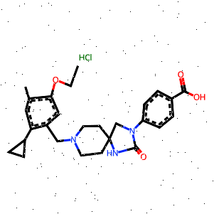 CCOc1cc(CN2CCC3(CC2)CN(c2ccc(C(=O)O)cc2)C(=O)N3)c(C2CC2)cc1C.Cl